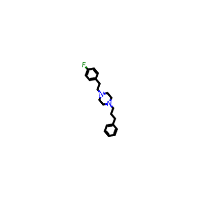 Fc1ccc(CCN2CCN(CCCc3ccccc3)CC2)cc1